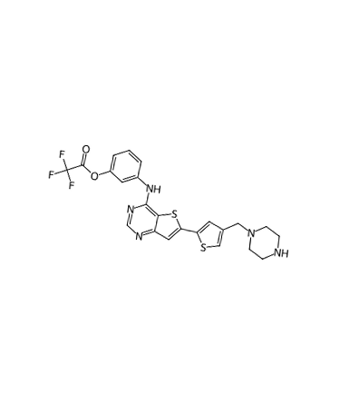 O=C(Oc1cccc(Nc2ncnc3cc(-c4cc(CN5CCNCC5)cs4)sc23)c1)C(F)(F)F